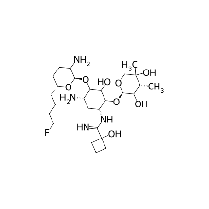 C[C@@H]1C(O)[C@@H](OC2C(O)C(O[C@H]3O[C@H](CCCCF)CCC3N)[C@@H](N)C[C@H]2NC(=N)C2(O)CCC2)OCC1(C)O